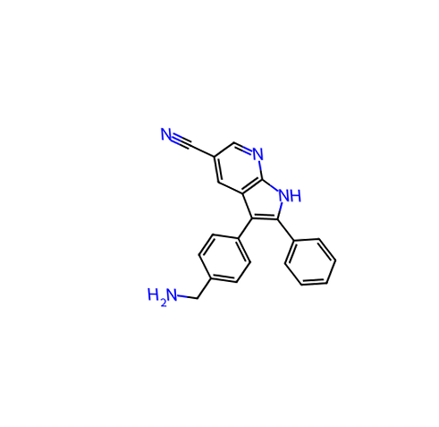 N#Cc1cnc2[nH]c(-c3ccccc3)c(-c3ccc(CN)cc3)c2c1